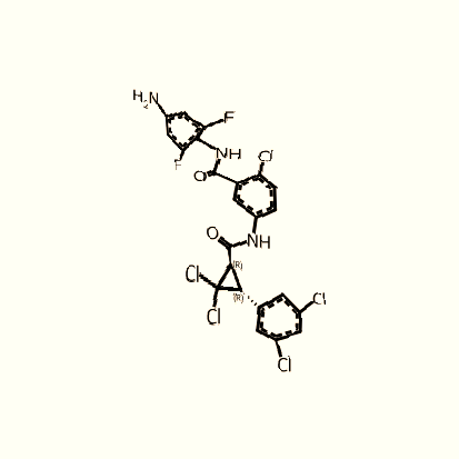 Nc1cc(F)c(NC(=O)c2cc(NC(=O)[C@H]3[C@H](c4cc(Cl)cc(Cl)c4)C3(Cl)Cl)ccc2Cl)c(F)c1